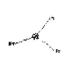 CC(C)CCCCCCCCCCCCCCCOP(=O)(OCCCCCCCCCCCCCCCC(C)C)OCCCCCCCCCCCCCCCC(C)C